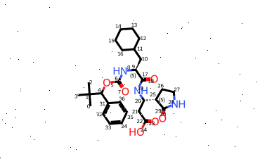 CC(C)(C)C(OC(=O)N[C@@H](CC1CCCCC1)C(=O)NC(CC(=O)O)[C@@H]1CCNC1=O)c1ccccc1